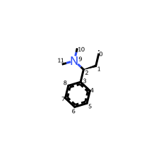 [CH2]C[C@@H](c1ccccc1)N(C)C